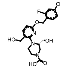 O=C(O)N1CCN(c2nc(OCc3ccc(Cl)cc3F)ccc2CO)[C@H](CO)C1